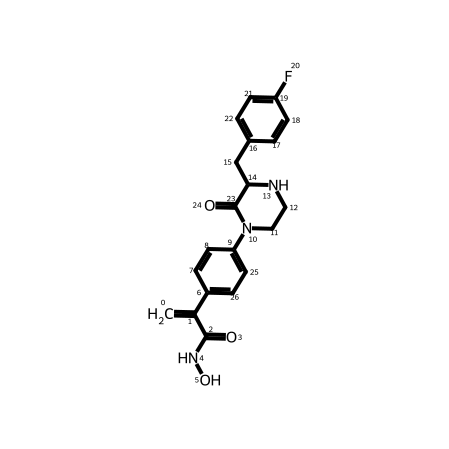 C=C(C(=O)NO)c1ccc(N2CCNC(Cc3ccc(F)cc3)C2=O)cc1